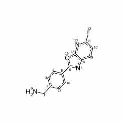 NCc1ccc(-c2nc3ccc(F)nc3o2)cc1